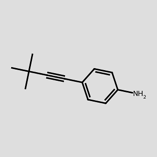 CC(C)(C)C#Cc1ccc(N)cc1